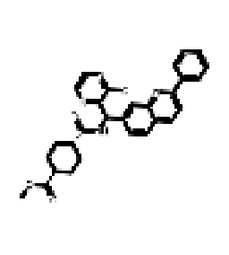 COC(=O)[C@H]1CC[C@H](C(=O)NC(c2ccc3ccc(-c4ccccc4)nc3c2)c2nccnc2Cl)CC1